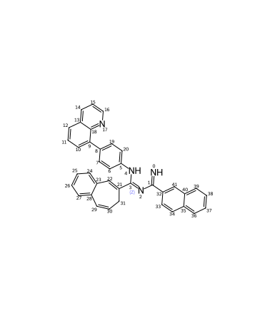 N=C(/N=C(\Nc1ccc(-c2cccc3cccnc23)cc1)C1=Cc2ccccc2C=CC1)c1ccc2ccccc2c1